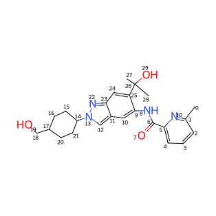 Cc1cccc(C(=O)Nc2cc3cn(C4CCC(CO)CC4)nc3cc2C(C)(C)O)n1